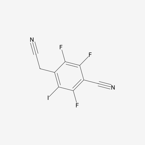 N#CCc1c(F)c(F)c(C#N)c(F)c1I